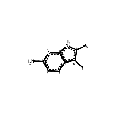 Cc1[nH]c2nc(N)ccc2c1C